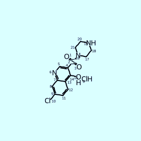 Cl.O=S(=O)(c1cnc2cc(Cl)ccc2c1O)N1CCNCC1